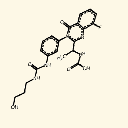 CC(NC(=O)O)c1nc2c(F)cccc2c(=O)n1-c1cccc(NC(=O)NCCCO)c1